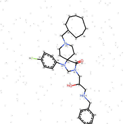 Cc1ccc(CNCC(O)CN2CN(c3ccc(F)cc3)C3(CCN(CC4CCCCCCC4)CC3)C2=O)cc1